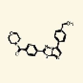 O=C(c1ccc(-c2nn3c(-c4ccc(CO)cc4)cnc3s2)cc1)N1CCOCC1